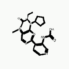 CC[C@@H]1C(=O)N(C)c2cnc(-c3ccncc3NC(=O)O)nc2N1C1CCCC1